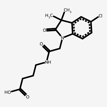 CC1(C)C(=O)N(CC(=O)NCCCC(=O)O)c2ccc(Cl)cc21